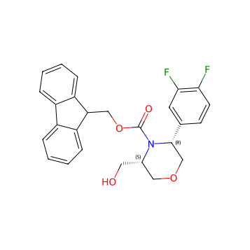 O=C(OCC1c2ccccc2-c2ccccc21)N1[C@@H](CO)COC[C@H]1c1ccc(F)c(F)c1